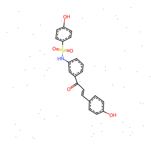 O=C(C=Cc1ccc(O)cc1)c1cccc(NS(=O)(=O)c2ccc(O)cc2)c1